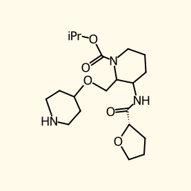 CC(C)OC(=O)N1CCCC(NC(=O)[C@@H]2CCCO2)C1COC1CCNCC1